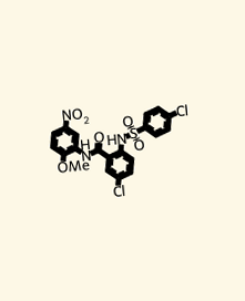 COc1ccc([N+](=O)[O-])cc1NC(=O)c1cc(Cl)ccc1NS(=O)(=O)c1ccc(Cl)cc1